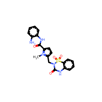 Cn1c(CN2C(=O)Nc3ccccc3S2(=O)=O)ccc1C(=O)Nc1ccccc1N